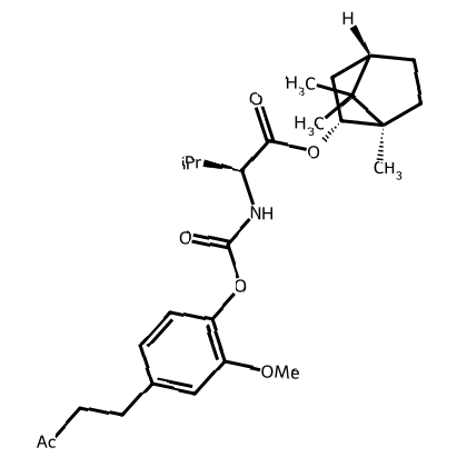 COc1cc(CCC(C)=O)ccc1OC(=O)N[C@H](C(=O)O[C@@H]1C[C@@H]2CC[C@]1(C)C2(C)C)C(C)C